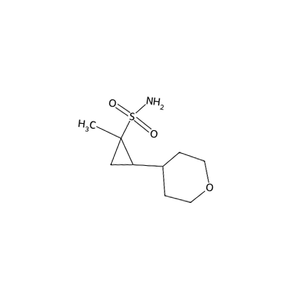 CC1(S(N)(=O)=O)CC1C1CCOCC1